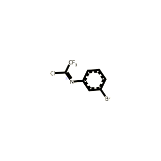 FC(F)(F)/C(Cl)=N\c1cccc(Br)c1